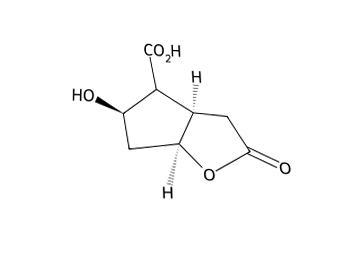 O=C1C[C@@H]2C(C(=O)O)[C@H](O)C[C@@H]2O1